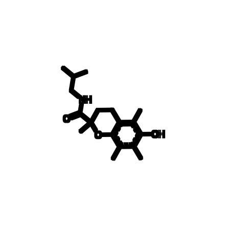 Cc1c(C)c2c(c(C)c1O)CCC(C)(C(=O)NCC(C)C)O2